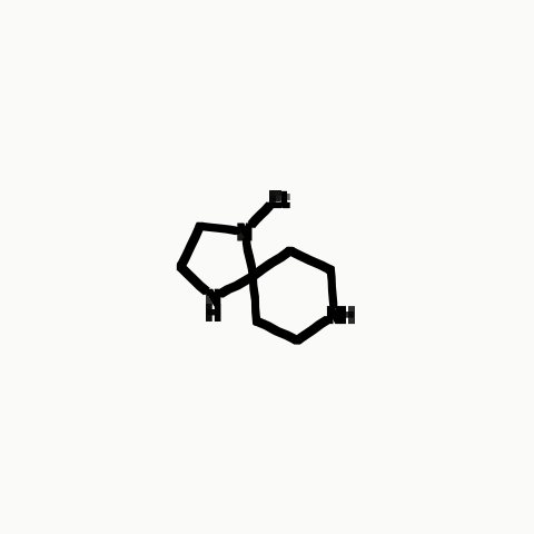 CCN1CCNC12CCNCC2